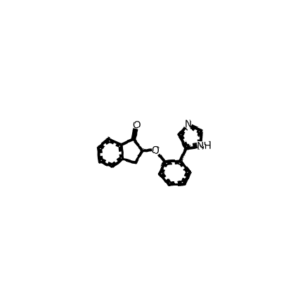 O=C1c2ccccc2CC1Oc1ccccc1-c1cnc[nH]1